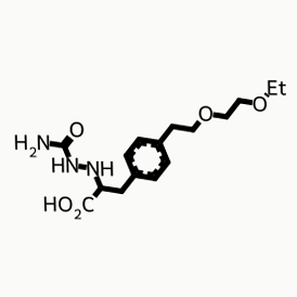 CCOCCOCCc1ccc(CC(NNC(N)=O)C(=O)O)cc1